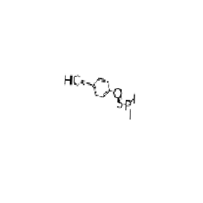 C#Cc1ccc(OSP(I)I)cc1